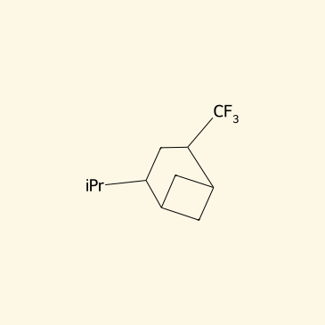 CC(C)C1CC(C(F)(F)F)C2CC1C2